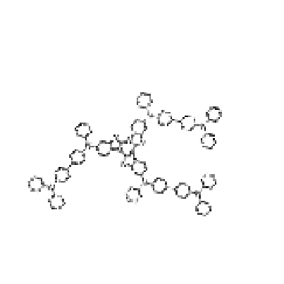 C1=C(c2ccc(N(c3ccccc3)c3ccc4c(c3)nc3n4c4nc5cc(N(c6ccccc6)c6ccc(-c7ccc(N(c8ccccc8)c8ccccc8)cc7)cc6)ccc5n4c4nc5cc(N(c6ccccc6)c6ccc(-c7ccc(N(c8ccccc8)c8ccccc8)cc7)cc6)ccc5n34)cc2)CCC(N(c2ccccc2)c2ccccc2)=C1